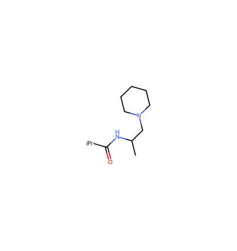 CC(CN1CCCCC1)NC(=O)C(C)C